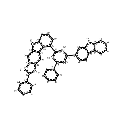 c1ccc(-c2nc(-c3ccc4c(c3)sc3ccccc34)nc(-c3cccc4oc5cc6sc(-c7ccccc7)nc6cc5c34)n2)cc1